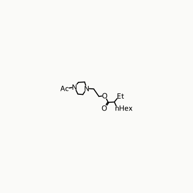 CCCCCCC(CC)C(=O)OCCN1CCN(C(C)=O)CC1